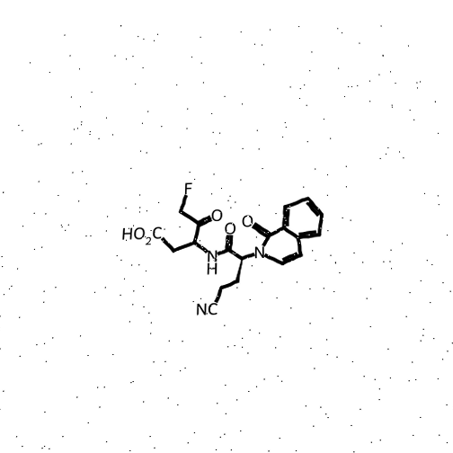 N#CCC[C@@H](C(=O)NC(CC(=O)O)C(=O)CF)n1ccc2ccccc2c1=O